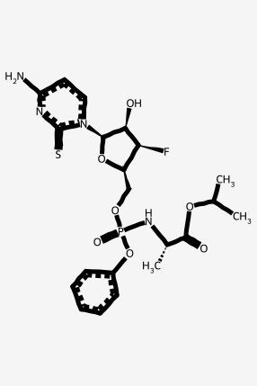 CC(C)OC(=O)[C@H](C)NP(=O)(OC[C@H]1O[C@@H](n2ccc(N)nc2=S)[C@@H](O)[C@H]1F)Oc1ccccc1